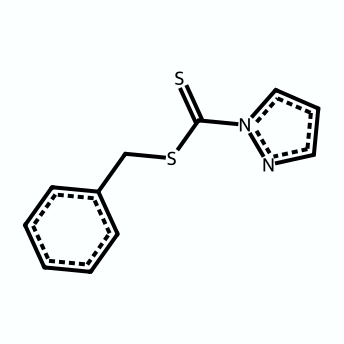 S=C(SCc1ccccc1)n1cccn1